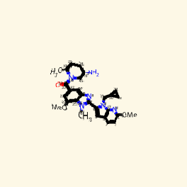 COc1ccc2cc(-c3nc4cc(C(=O)N5C[C@@H](N)CC[C@@H]5C)cc(OC)c4n3C)n(CC3CC3)c2n1